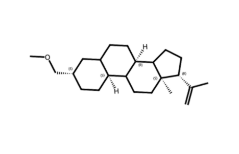 C=C(C)[C@H]1CCC2[C@@H]3CCC4C[C@@H](COC)CC[C@@H]4C3CC[C@@]21C